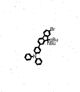 CCCCC1(CCCC)c2cc(Br)ccc2-c2ccc(-c3ccc(N(c4ccccc4)c4ccccc4)cc3)cc21